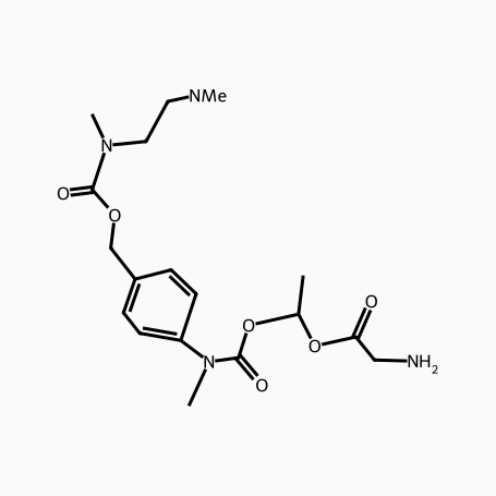 CNCCN(C)C(=O)OCc1ccc(N(C)C(=O)OC(C)OC(=O)CN)cc1